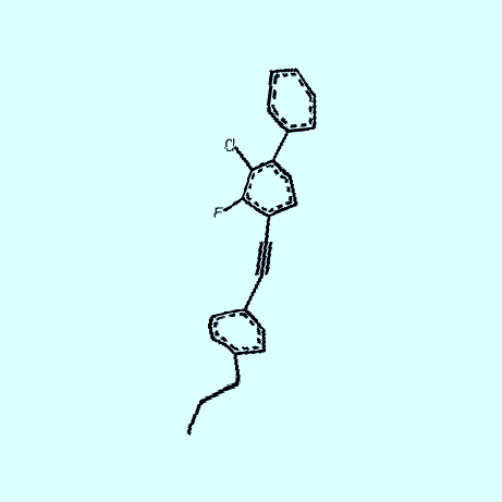 CCCc1ccc(C#Cc2ccc(-c3ccccc3)c(Cl)c2F)cc1